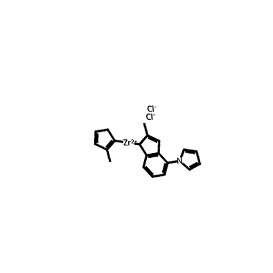 CC1=Cc2c(cccc2-n2cccc2)[CH]1[Zr+2][C]1=C(C)C=CC1.[Cl-].[Cl-]